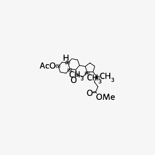 COC(=O)CC[C@@H](C)C1CCC2C3CC[C@@H]4C[C@@H](OC(C)=O)CC[C@]4(C)C3C(=O)C[C@@]21C